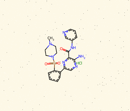 CN1CCN(S(=O)(=O)c2ccccc2-c2cnc(N)c(C(=O)Nc3cccnc3)n2)CC1.Cl